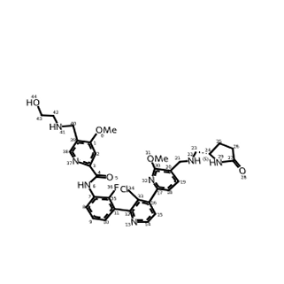 COc1cc(C(=O)Nc2cccc(-c3nccc(-c4ccc(CNC[C@@H]5CCC(=O)N5)c(OC)n4)c3Cl)c2F)ncc1CNCCO